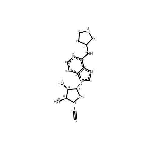 C#C[C@H]1O[C@@H](n2cnc3c(NC4CCOC4)ncnc32)[C@H](O)[C@@H]1O